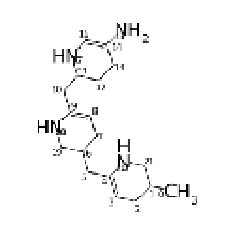 CC1CC=C(CC2CC=C(CC3CCC(N)=CN3)NC2)NC1